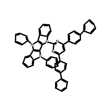 c1ccc(-c2ccc(-c3cc(-c4ccc(-c5ccccc5)cc4)nc(-n4c5ccccc5c5c4c4c(c6ccccc6n4-c4ccccc4)n5-c4ccccc4)n3)cc2)cc1